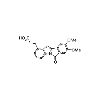 COc1cc2c(cc1OC)-c1cc3c(CCC(=O)O)cccc3n1C2=O